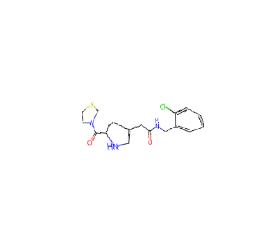 O=C(CC1CNC(C(=O)N2CCSC2)C1)NCc1ccccc1Cl